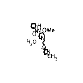 COC1CN(CCCOc2ccc(C)nc2)CCC1NC(=O)c1ccccc1.O